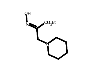 CCOC(=O)/C(CN1CCCCC1)=N\O